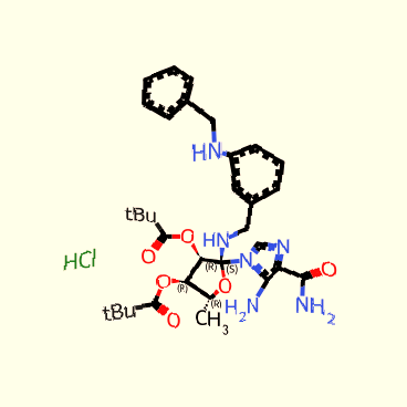 C[C@H]1O[C@@](NCc2cccc(NCc3ccccc3)c2)(n2cnc(C(N)=O)c2N)[C@H](OC(=O)C(C)(C)C)[C@@H]1OC(=O)C(C)(C)C.Cl